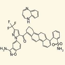 C1=CNc2ccccc2N=C1.Nc1noc2ccc(-n3nc(C(F)(F)F)cc3C(=O)C3=c4ccc5c(c4CCC3)CC=c3c(-c4ccccc4S(N)(=O)=O)cccc3=5)cc12